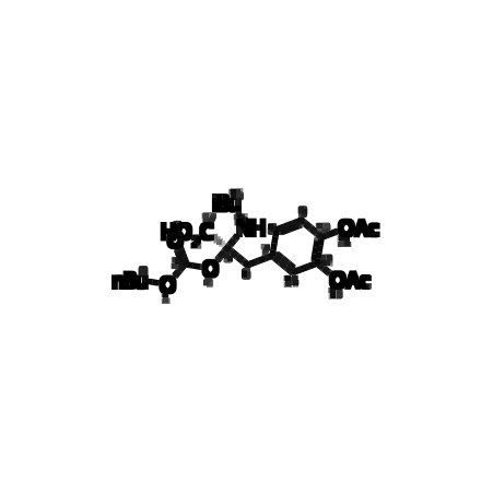 CCCCOC(=O)O[C@](Cc1ccc(OC(C)=O)c(OC(C)=O)c1)(NC(C)CC)C(=O)O